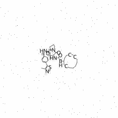 Cc1ncsc1-c1ccc([C@H](C)NC(=O)[C@@H]2CCCN2C(=O)C(NC(=O)BC2CCCCCCCCCCCC2)C(C)(C)C)cc1